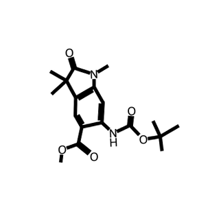 COC(=O)c1cc2c(cc1NC(=O)OC(C)(C)C)N(C)C(=O)C2(C)C